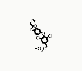 CC(C)Cc1nc2ccc(Oc3c(Cl)cc(CC(=O)O)cc3Cl)cc2o1